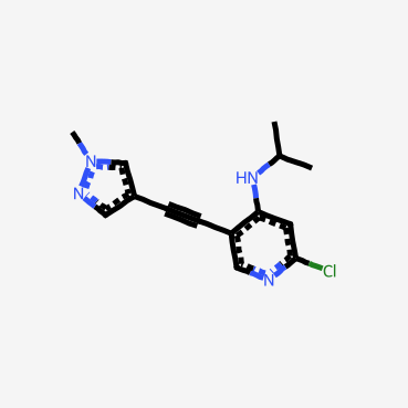 CC(C)Nc1cc(Cl)ncc1C#Cc1cnn(C)c1